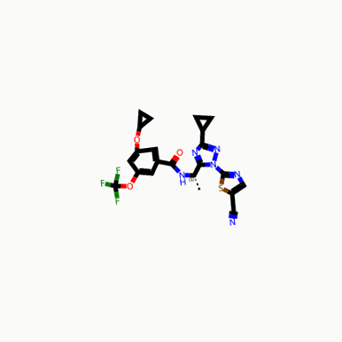 C[C@H](NC(=O)c1cc(OC2CC2)cc(OC(F)(F)F)c1)c1nc(C2CC2)nn1-c1ncc(C#N)s1